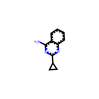 Nc1nc(C2CC2)nc2ccccc12